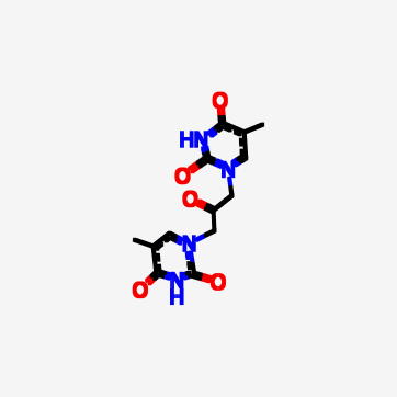 Cc1cn(CC(=O)Cn2cc(C)c(=O)[nH]c2=O)c(=O)[nH]c1=O